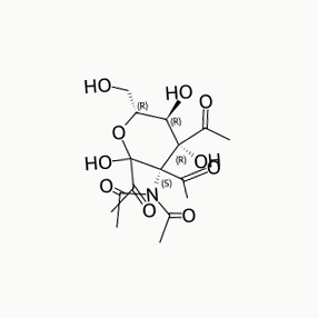 CC(=O)N(C(C)=O)[C@]1(C(C)=O)C(O)(C(C)=O)O[C@H](CO)[C@@H](O)[C@@]1(O)C(C)=O